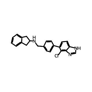 Clc1c(-c2ccc(CNC3Cc4ccccc4C3)cc2)ccc2[nH]cnc12